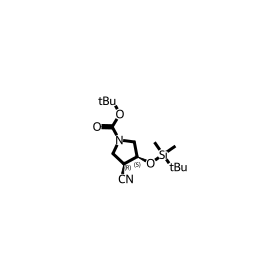 CC(C)(C)OC(=O)N1C[C@H](C#N)[C@H](O[Si](C)(C)C(C)(C)C)C1